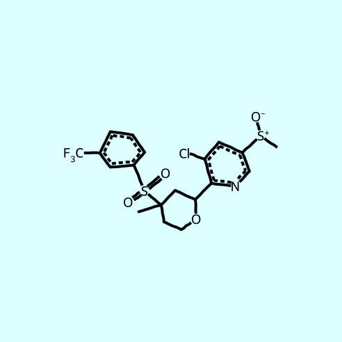 C[S+]([O-])c1cnc(C2CC(C)(S(=O)(=O)c3cccc(C(F)(F)F)c3)CCO2)c(Cl)c1